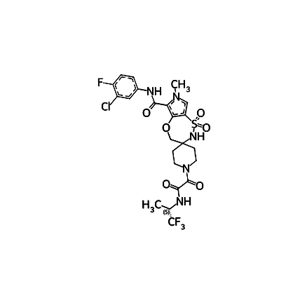 C[C@H](NC(=O)C(=O)N1CCC2(CC1)COc1c(cn(C)c1C(=O)Nc1ccc(F)c(Cl)c1)S(=O)(=O)N2)C(F)(F)F